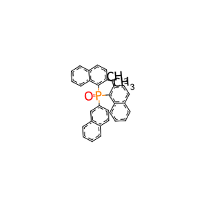 Cc1ccc2ccccc2c1P(=O)(c1ccc2ccccc2c1)c1c(C)ccc2ccccc12